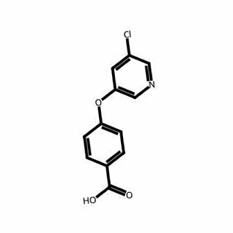 O=C(O)c1ccc(Oc2cncc(Cl)c2)cc1